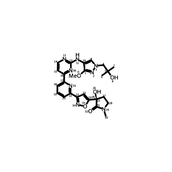 COc1nn(CC(C)(C)O)cc1Nc1nccc(-c2cccc(-c3cc([C@]4(O)CCN(C)C4=O)on3)n2)n1